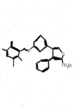 CCOC(=O)c1occ(-c2cccc(OCc3c(C)c(C)cc(C)c3C)c2)c1-c1ccccc1